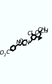 CC1(C)CC2(CC2)c2cc(CN3CCC4(CC3)CC(c3ccc(C(=O)O)cc3)=NO4)cc(Cl)c2O1